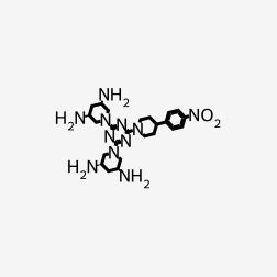 N[C@@H]1C[C@H](N)CN(c2nc(N3CCC(c4ccc([N+](=O)[O-])cc4)CC3)nc(N3C[C@H](N)C[C@H](N)C3)n2)C1